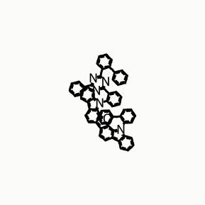 c1ccc(-c2nc(-c3ccccc3-c3ccccc3)nc(-c3ccccc3-n3c4ccccc4c4ccc5c6ccc7c8ccccc8n(-c8ccccc8-c8ccccc8)c7c6oc5c43)n2)cc1